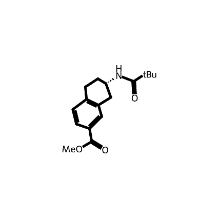 COC(=O)c1ccc2c(c1)C[C@@H](NC(=O)C(C)(C)C)CC2